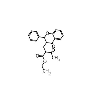 CCOC(=O)C(CC1C(=O)c2ccccc2OC1c1ccccc1)C(C)=O